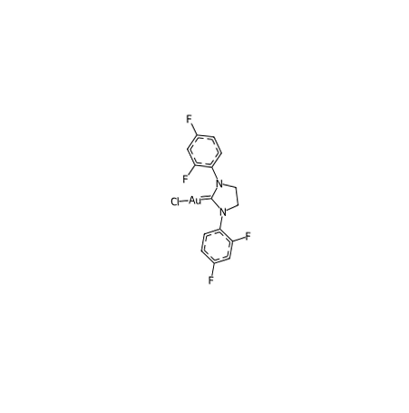 Fc1ccc(N2CCN(c3ccc(F)cc3F)[C]2=[Au][Cl])c(F)c1